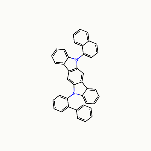 c1ccc(-c2ccccc2-n2c3ccccc3c3cc4c(cc32)c2ccccc2n4-c2cccc3ccccc23)cc1